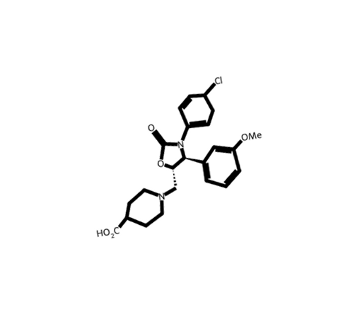 COc1cccc([C@H]2[C@H](CN3CCC(C(=O)O)CC3)OC(=O)N2C2=CCC(Cl)C=C2)c1